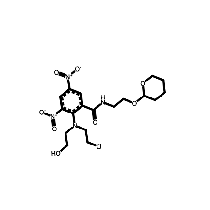 O=C(NCCOC1CCCCO1)c1cc([N+](=O)[O-])cc([N+](=O)[O-])c1N(CCO)CCCl